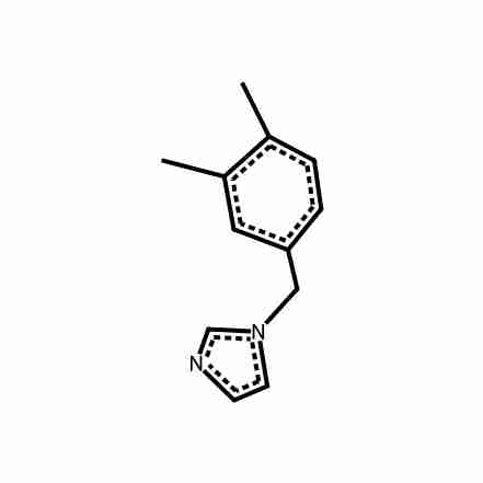 Cc1ccc(Cn2ccnc2)cc1C